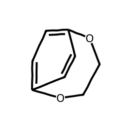 c1cc2ccc1OCCO2